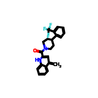 C=C1C=C(C(=O)N2CCC(c3ccccc3C(F)(F)F)CC2)Nc2ccccc21